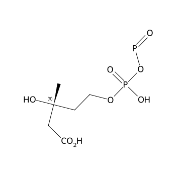 C[C@@](O)(CCOP(=O)(O)OP=O)CC(=O)O